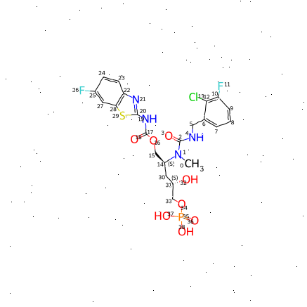 CN(C(=O)NCc1cccc(F)c1Cl)[C@H](COC(=O)Nc1nc2ccc(F)cc2s1)C[C@H](O)COP(=O)(O)O